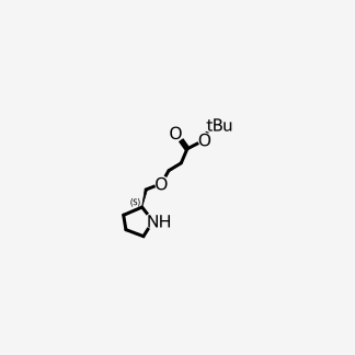 CC(C)(C)OC(=O)CCOC[C@@H]1CCCN1